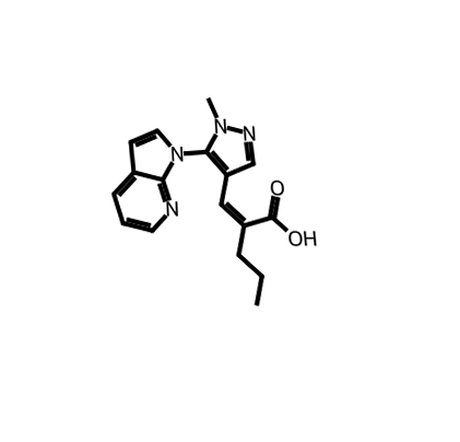 CCCC(=Cc1cnn(C)c1-n1ccc2cccnc21)C(=O)O